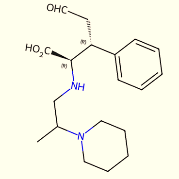 CC(CN[C@@H](C(=O)O)[C@H](CC=O)c1ccccc1)N1CCCCC1